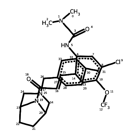 CN(C)C(=O)Nc1cc(Cl)c(OC(F)(F)F)cc1C=CC(=O)N1C2CCC1CN(Cc1ccc(F)cc1)C2